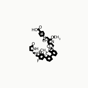 COc1cc(-c2cccc(-c3cccc4c3cnn4Cc3nc(OC)c(CN(C)C45CCC(C(=O)O)(CC4)CC5)cc3Cl)c2C)cc(F)c1CNC[C@@H]1CCC(=O)N1